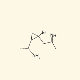 CCC1(CC(C)=N)CC1C(C)N